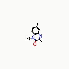 CCn1c(=O)c(C)nc2cc(C)ccc21